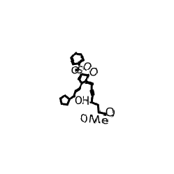 COC(=O)CCCC#CC=C1C(=O)C(S(=O)(=O)c2ccccc2)=CC1C=CC(O)C1CCCC1